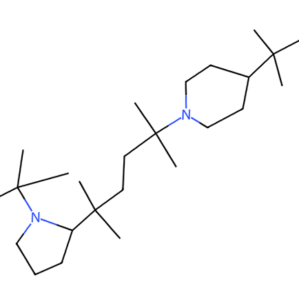 CC(C)(C)C1CCN(C(C)(C)CCC(C)(C)C2CCCN2C(C)(C)C)CC1